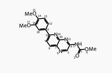 COC(=O)Nc1cnc2ccc(-c3ccc(OC)c(OC)c3)nc2n1